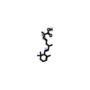 CC1=CCCC(C)(C)C1/C=C/C(C)CC=N[C@@H](C)C(=O)O